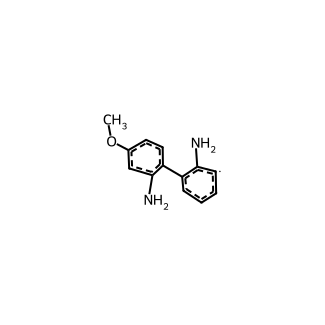 COc1ccc(-c2ccc[c]c2N)c(N)c1